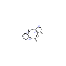 C=C/C1=C(\C=C/C)C/N=c2/cccc/c2=C/C(=C)O1